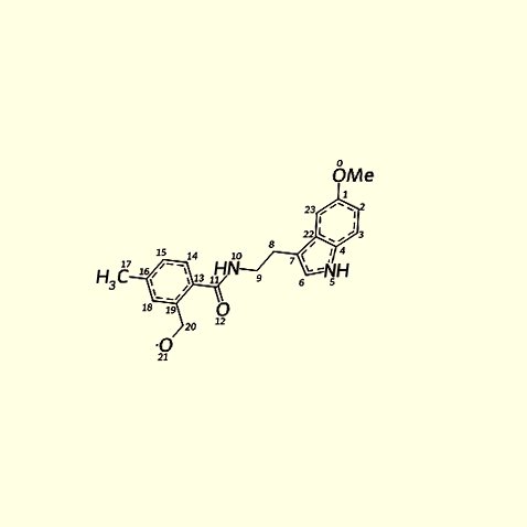 COc1ccc2[nH]cc(CCNC(=O)c3ccc(C)cc3C[O])c2c1